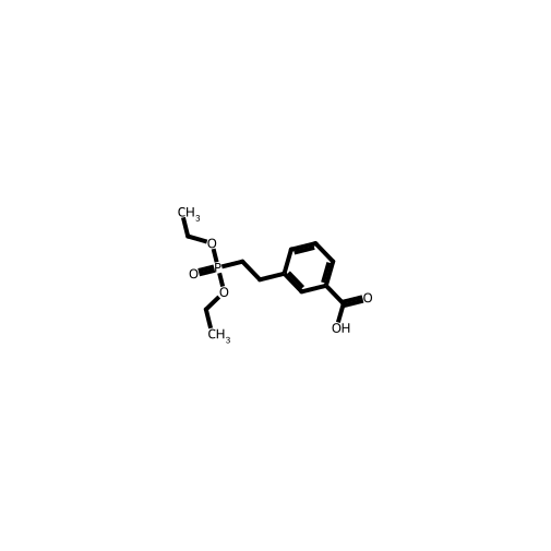 CCOP(=O)(CCc1cccc(C(=O)O)c1)OCC